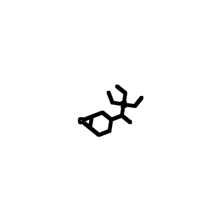 CC[Si](CC)(CC)C(C)C1CCC2OC2C1